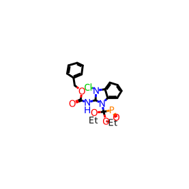 CCOC(OCC)(P=O)N1c2ccccc2N(Cl)C1NC(=O)OCc1ccccc1